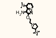 CN(C)c1cccn2nc(OCCN3CCC([N+](C)(C)C)C3)c(N)c12